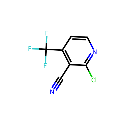 N#Cc1c(C(F)(F)F)ccnc1Cl